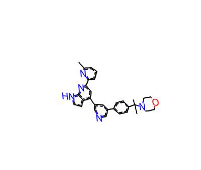 Cc1cccc(-c2cc(-c3cncc(-c4ccc(C(C)(C)N5CCOCC5)cc4)c3)c3cc[nH]c3n2)n1